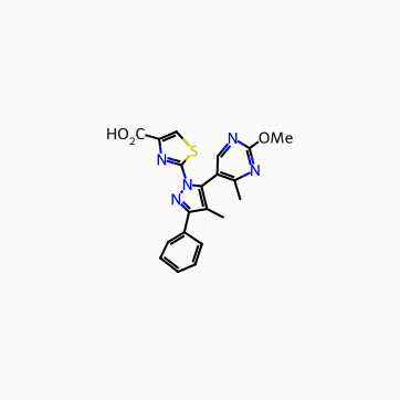 COc1ncc(-c2c(C)c(-c3ccccc3)nn2-c2nc(C(=O)O)cs2)c(C)n1